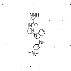 O=C(Nc1cccc(-n2nc(Nc3ccc4[nH]ncc4c3)c3ccccc32)n1)c1cn[nH]c1